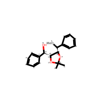 COC(c1ccccc1)[C@@H]1OC(C)(C)O[C@@H]1C(O)c1ccccc1